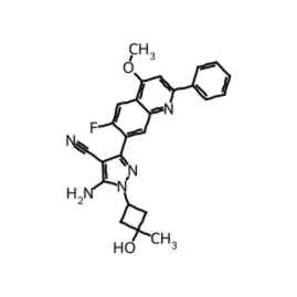 COc1cc(-c2ccccc2)nc2cc(-c3nn(C4CC(C)(O)C4)c(N)c3C#N)c(F)cc12